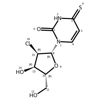 O=c1[nH]c(=S)ccn1[C@@H]1O[C@H](CO)[C@@H](O)[C@H]1Cl